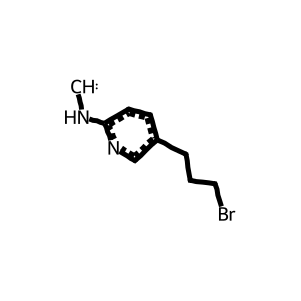 [CH]Nc1ccc(CCCBr)cn1